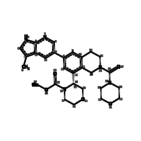 Cc1c[nH]c2ncc(-c3cc4c(c([C@@H]5COCCN5C(=O)OC(C)(C)C)c3)CN(C(=O)N3CCOCC3)CC4)cc12